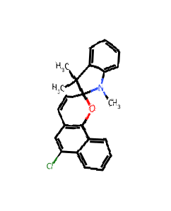 CN1c2ccccc2C(C)(C)C12C=Cc1cc(Cl)c3ccccc3c1O2